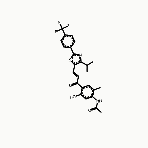 CC(=O)Nc1cc(O)c(C(=O)C=Cc2sc(-c3ccc(C(F)(F)F)cc3)nc2C(C)C)cc1C